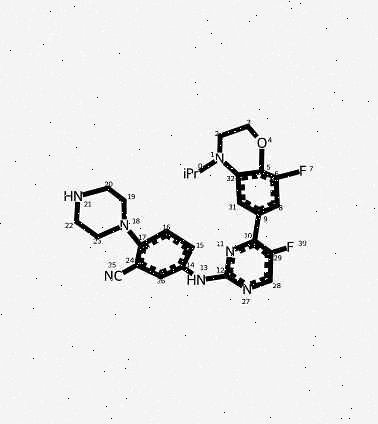 CC(C)N1CCOc2c(F)cc(-c3nc(Nc4ccc(N5CCNCC5)c(C#N)c4)ncc3F)cc21